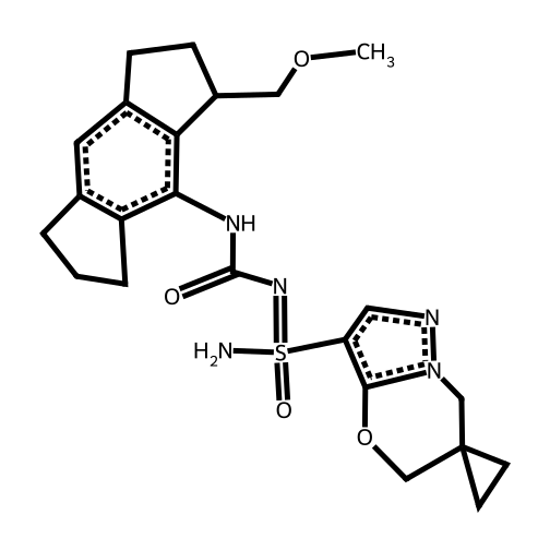 COCC1CCc2cc3c(c(NC(=O)N=S(N)(=O)c4cnn5c4OCC4(CC4)C5)c21)CCC3